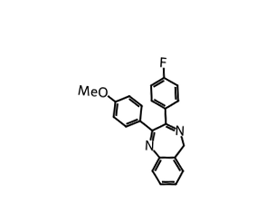 COc1ccc(C2=Nc3ccccc3CN=C2c2ccc(F)cc2)cc1